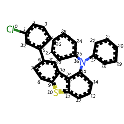 Clc1cccc(-c2ccc3sc4cccc(N(c5ccccc5)c5ccccc5)c4c3c2)c1